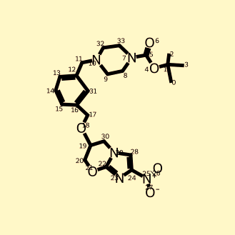 CC(C)(C)OC(=O)N1CCN(Cc2cccc(COC3COc4nc([N+](=O)[O-])cn4C3)c2)CC1